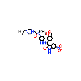 CN1CCN(CC(=O)N(C)c2ccc(N/C(=C3\C(=O)Nc4cc([N+](=O)[O-])ccc43)c3ccc4c(c3)OOC4)cc2)CC1